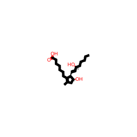 CCCCC[C@H](O)C=C[C@@H]1C(CCCCCCC(=O)O)=C(C)C[C@H]1O